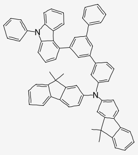 CC1(C)c2ccccc2-c2ccc(N(c3cccc(-c4cc(-c5ccccc5)cc(-c5cccc6c5c5ccccc5n6-c5ccccc5)c4)c3)c3ccc4c(c3)C(C)(C)c3ccccc3-4)cc21